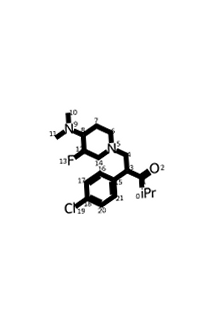 CC(C)C(=O)C(CN1CCC(N(C)C)C(F)C1)c1ccc(Cl)cc1